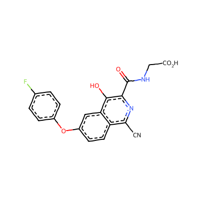 N#Cc1nc(C(=O)NCC(=O)O)c(O)c2cc(Oc3ccc(F)cc3)ccc12